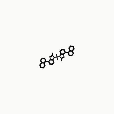 CC1=Cc2c(-c3cccc4ccccc34)cccc2C1C(C)(C)C1C(C)=Cc2c(-c3cccc4ccccc34)cccc21